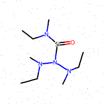 CCN(C)N(N(C)CC)[Si](=O)N(C)CC